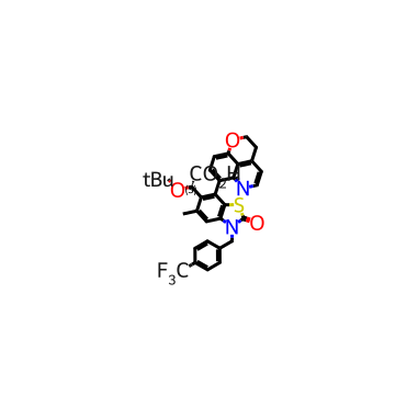 Cc1cc2c(sc(=O)n2Cc2ccc(C(F)(F)F)cc2)c(-c2ccc3c4c(ccnc24)CCO3)c1[C@H](OC(C)(C)C)C(=O)O